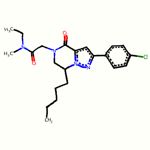 CCCCCC1CN(CC(=O)N(C)CC)C(=O)c2cc(-c3ccc(Cl)cc3)nn21